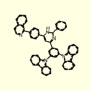 C1=C(c2ccc(-c3nccc4ccccc34)cc2)NC(c2ccccc2)N=C1c1cc(-n2c3ccccc3c3ccccc32)cc(-n2c3ccccc3c3ccccc32)c1